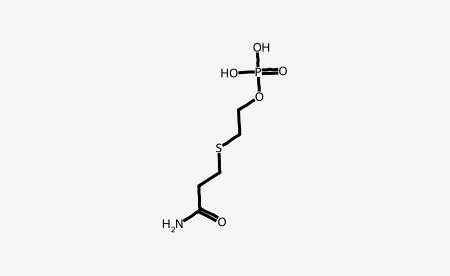 NC(=O)CCSCCOP(=O)(O)O